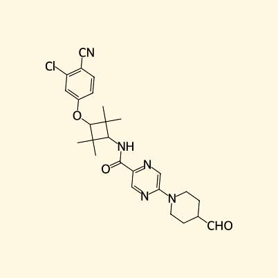 CC1(C)C(NC(=O)c2cnc(N3CCC(C=O)CC3)cn2)C(C)(C)C1Oc1ccc(C#N)c(Cl)c1